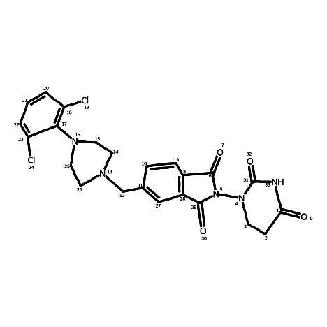 O=C1CCN(N2C(=O)c3ccc(CN4CCN(c5c(Cl)cccc5Cl)CC4)cc3C2=O)C(=O)N1